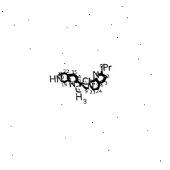 CC(C)c1ccc2c(n1)CN(CC(C)(C)c1ccc3c(n1)CNCC3)CC2